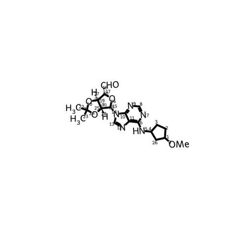 COC1CCC(Nc2ncnc3c2ncn3[C@@H]2O[C@@H](C=O)[C@@H]3OC(C)(C)O[C@H]32)C1